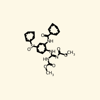 COC(=O)/N=C(/NC(=O)OC)Nc1ccc([S+]([O-])c2ccccc2)cc1NC(=O)c1ccccc1